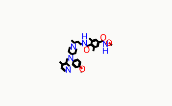 CONC(=O)c1cc(C)c(C(=O)NCCC(C)N2CCC(N(Cc3cnccc3C)c3ccc(OC)cc3)CC2)c(C)c1